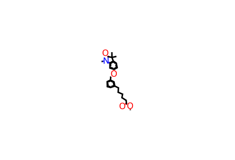 COC(=O)CCCCCc1cccc(COc2ccc3c(c2)N(C)C(=O)C3(C)C)c1